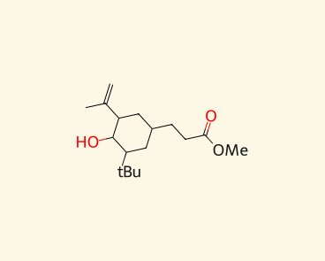 C=C(C)C1CC(CCC(=O)OC)CC(C(C)(C)C)C1O